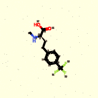 CN[C@@H](CCc1ccc(C(F)(F)F)cc1)C(=O)O